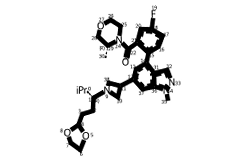 CC(C)[C@@H](CCC1OCCO1)N1CC(c2cc(-c3ccc(F)cc3C(=O)N3CCOC[C@H]3C)c3cnn(C)c3c2)C1